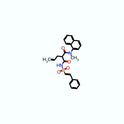 C=CCC(C(=O)NS(=O)(=O)C=Cc1ccccc1)C(=O)N(C)c1cccc2ccccc12